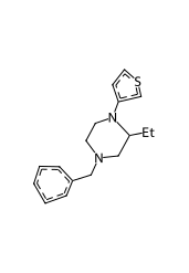 CCC1CN(Cc2ccccc2)CCN1c1ccsc1